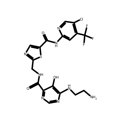 NCCNc1ncnc(C(=O)NCc2ncc(C(=O)Nc3cc(C(F)(F)F)c(Cl)cn3)s2)c1O